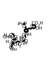 C/C=C\C(=O)N(C=O)CC(=O)N(CCC(=O)NC(C(=O)NCC(=O)Nc1ccc(COC(=O)C(C)C)c(CCC2CC(O)CC(C(=O)O)O2)c1)C(C)C)C(C)(C)CCOC(C)(C)C